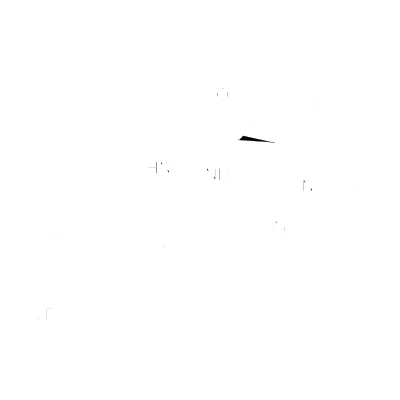 CC(=O)N1CCC[C@@H]1C(=O)NNc1ccc(F)cc1